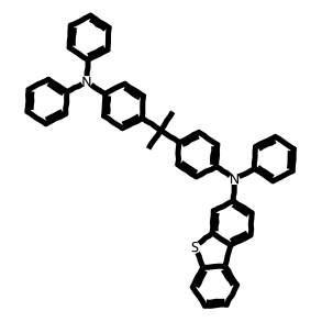 CC(C)(c1ccc(N(c2ccccc2)c2ccccc2)cc1)c1ccc(N(c2ccccc2)c2ccc3c(c2)sc2ccccc23)cc1